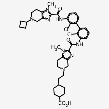 Cn1c(C(=O)Nc2cccc(-c3cccc(NC(=O)c4nc5c(n4C)CCN(C4CCC4)C5)c3Cl)c2Cl)nc2c1CCN(CCC1CCC(C(=O)O)CC1)C2